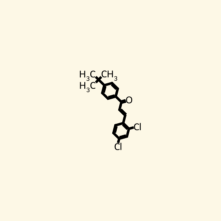 CC(C)(C)c1ccc(C(=O)/C=C/c2ccc(Cl)cc2Cl)cc1